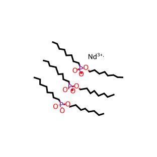 CCCCCCCCOP(=O)([O-])CCCCCCCC.CCCCCCCCOP(=O)([O-])CCCCCCCC.CCCCCCCCOP(=O)([O-])CCCCCCCC.[Nd+3]